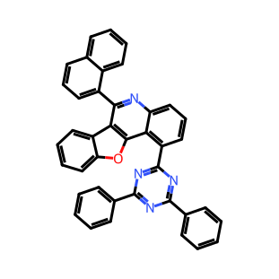 c1ccc(-c2nc(-c3ccccc3)nc(-c3cccc4nc(-c5cccc6ccccc56)c5c6ccccc6oc5c34)n2)cc1